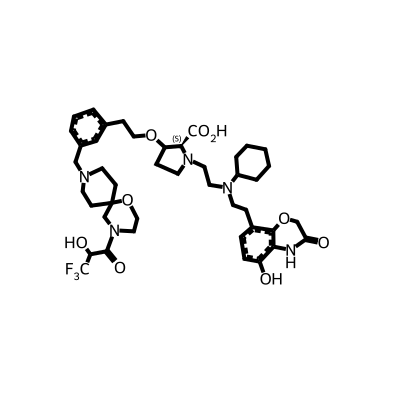 O=C1COc2c(CCN(CCN3CCC(OCCc4cccc(CN5CCC6(CC5)CN(C(=O)C(O)C(F)(F)F)CCO6)c4)[C@H]3C(=O)O)C3CCCCC3)ccc(O)c2N1